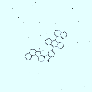 CC1(C)c2ccc3ccccc3c2-c2ccc3sc4ccc(-c5c6ccccc6c(-c6cccc7ccccc67)c6ccccc56)cc4c3c21